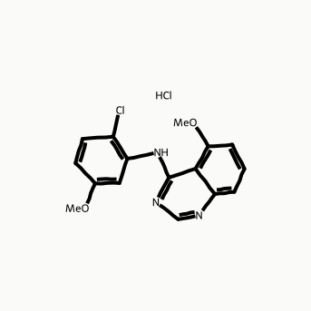 COc1ccc(Cl)c(Nc2ncnc3cccc(OC)c23)c1.Cl